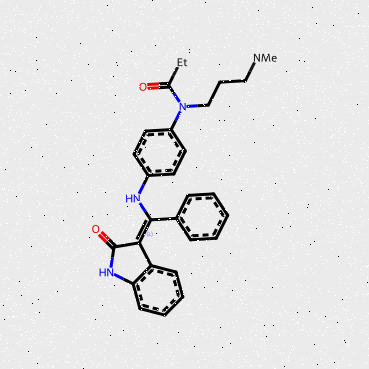 CCC(=O)N(CCCNC)c1ccc(N/C(=C2\C(=O)Nc3ccccc32)c2ccccc2)cc1